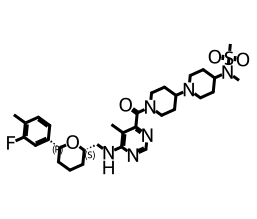 Cc1ccc([C@H]2CCC[C@@H](CNc3ncnc(C(=O)N4CCC(N5CCC(N(C)S(C)(=O)=O)CC5)CC4)c3C)O2)cc1F